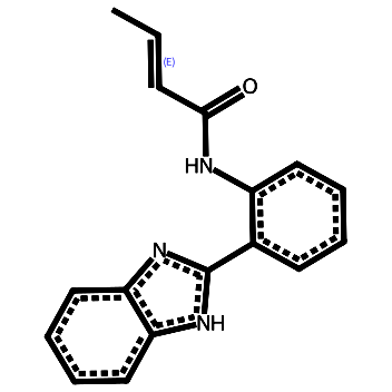 C/C=C/C(=O)Nc1ccccc1-c1nc2ccccc2[nH]1